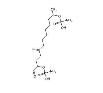 CC(CCCCCCC(=O)CCC(C=O)OP(N)(=O)O)OP(N)(=O)O